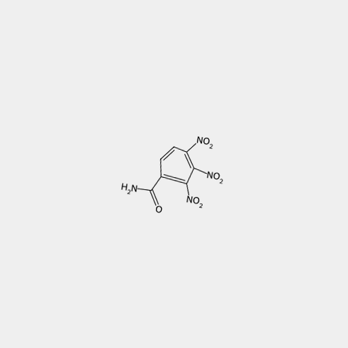 NC(=O)c1ccc([N+](=O)[O-])c([N+](=O)[O-])c1[N+](=O)[O-]